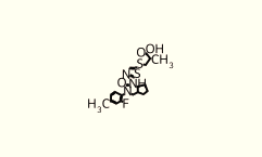 Cc1ccc(N(CC2CCCC2)C(=O)Nc2ncc(SCC(C)C(=O)O)s2)c(F)c1